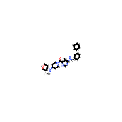 CO[C@@H]1COCC[C@@H]1NC1CCN(C(=O)c2ncnc(NC[C@H]3CCC[C@@H](c4ccccc4)C3)c2C)CC1